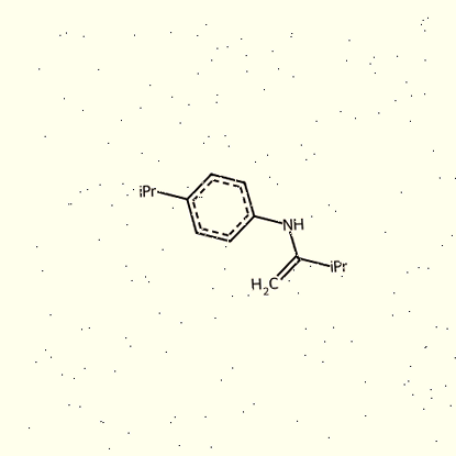 C=C(Nc1ccc(C(C)C)cc1)C(C)C